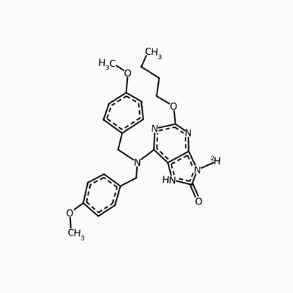 [2H]n1c(=O)[nH]c2c(N(Cc3ccc(OC)cc3)Cc3ccc(OC)cc3)nc(OCCCC)nc21